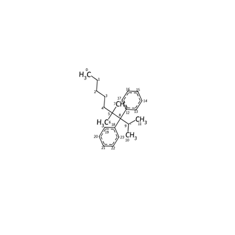 CCCCCC(C)(C)C([C](C)C)(c1ccccc1)c1ccccc1